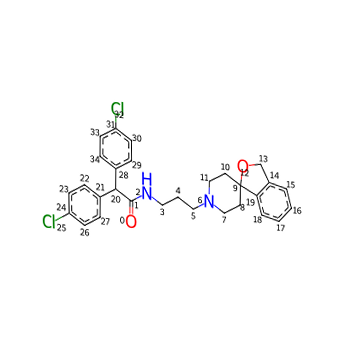 O=C(NCCCN1CCC2(CC1)OCc1ccccc12)C(c1ccc(Cl)cc1)c1ccc(Cl)cc1